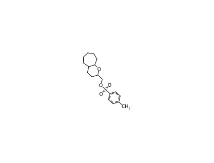 Cc1ccc(S(=O)(=O)OCC2CCC3CCCCCC3O2)cc1